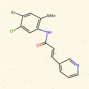 CCc1cc(NC)c(NC(=O)/C=C/c2cccnc2)cc1Cl